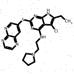 CCc1[nH]c2nc(Sc3cnc4nccnc4c3)nc(NCCN3CCCC3)c2c1Cl